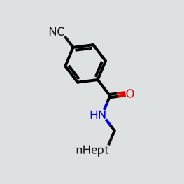 CCCCCCCCNC(=O)c1ccc(C#N)cc1